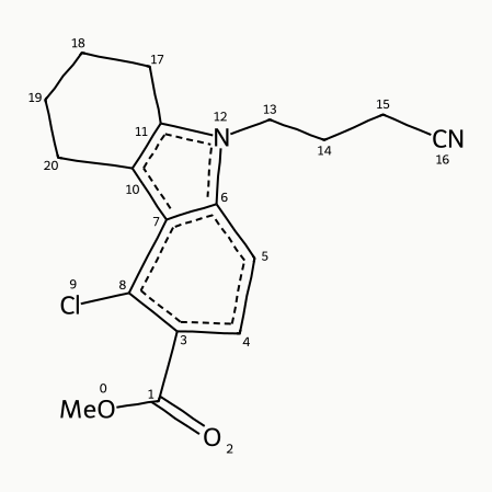 COC(=O)c1ccc2c(c1Cl)c1c(n2CCCC#N)CCCC1